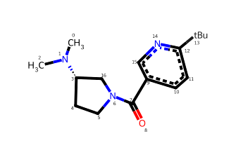 CN(C)[C@H]1CCN(C(=O)c2ccc(C(C)(C)C)nc2)C1